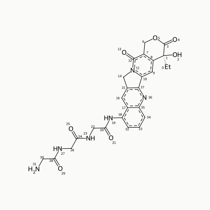 CC[C@@]1(O)C(=O)OCc2c1cc1n(c2=O)Cc2cc3c(NC(=O)CNC(=O)CNC(=O)CN)cccc3nc2-1